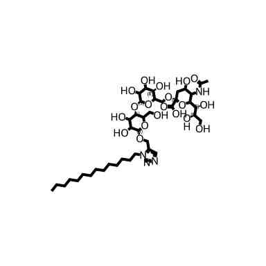 CCCCCCCCCCCCCCn1nncc1CO[C@@H]1OC(CO)[C@@H](O[C@@H]2OC(CO[C@]3(C(=O)O)CC(O)C(NC(C)=O)C([C@H](O)[C@H](O)CO)O3)[C@H](O)C(O)C2O)C(O)C1O